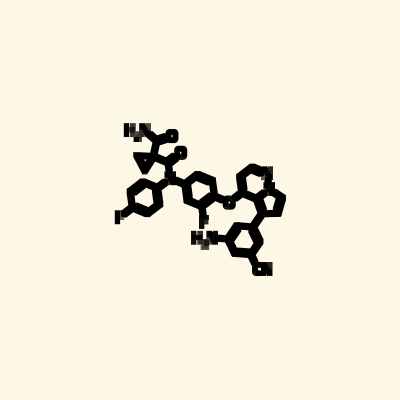 N#Cc1cc(N)cc(-c2ccn3nccc(Oc4ccc(N(C(=O)C5(C(N)=O)CC5)c5ccc(F)cc5)cc4F)c23)c1